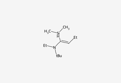 CCC=C(N(CC)C(C)(C)C)[SiH](C)C